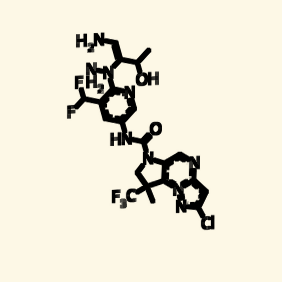 CC(O)/C(=C/N)N(N)c1ncc(NC(=O)N2CC(C)(C(F)(F)F)c3c2cnc2cc(Cl)nn32)cc1C(F)F